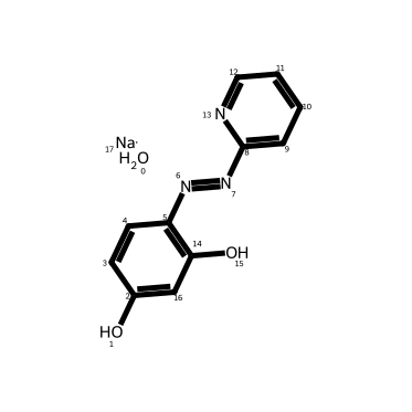 O.Oc1ccc(N=Nc2ccccn2)c(O)c1.[Na]